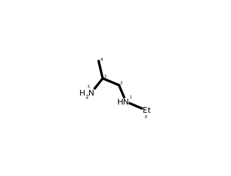 CCNCC(C)N